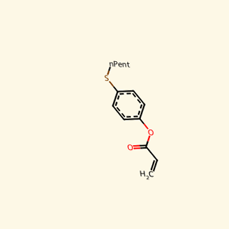 C=CC(=O)Oc1ccc(SCCCCC)cc1